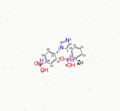 Cn1ccnc1.O=[PH](O)c1ccccc1.O=[PH](O)c1ccccc1.[Zn]